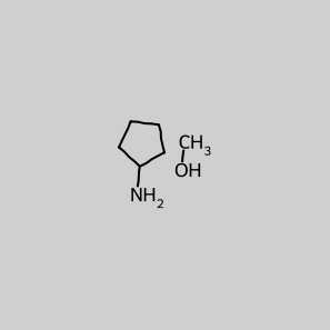 CO.NC1CCCC1